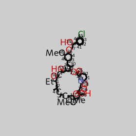 CCC1/C=C(\C)CC(C)CC(OC)C2OC(O)(C(=O)C(=O)N3CCCCC3C(=O)OC(C(C)=CC3CCC(OCC(O)c4cccc(Cl)c4)C(OC)C3)C(C)C(O)CC1=O)C(C)CC2OC